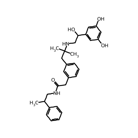 CC(CNC(=O)Cc1cccc(CC(C)(C)NCC(O)c2cc(O)cc(O)c2)c1)c1ccccc1